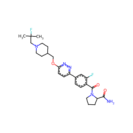 CC(C)(F)CN1CCC(COc2ccc(-c3ccc(C(=O)N4CCCC4C(N)=O)c(F)c3)nn2)CC1